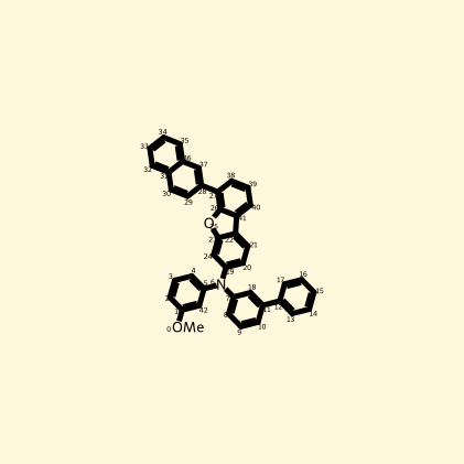 COc1cccc(N(c2cccc(-c3ccccc3)c2)c2ccc3c(c2)oc2c(-c4ccc5ccccc5c4)cccc23)c1